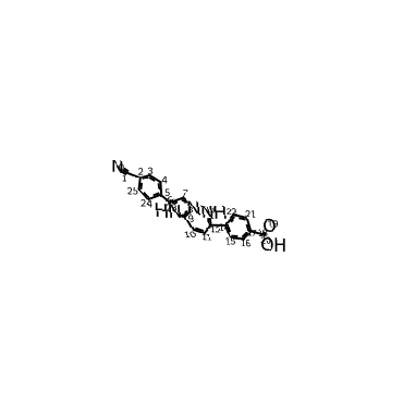 N#Cc1ccc(-c2cnc(/C=C\C(=N)c3ccc(C(=O)O)cc3)[nH]2)cc1